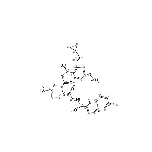 COc1ccc([C@H](C)NC(=O)[C@@H]2CN(C)CCN2C(=O)CNC(=O)c2ccc3cc(F)ccc3n2)c(/C=C/C2CC2)c1